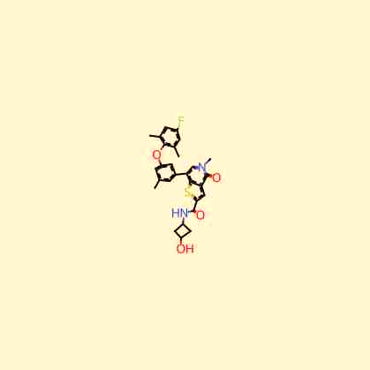 Cc1cc(Oc2c(C)cc(F)cc2C)cc(-c2cn(C)c(=O)c3cc(C(=O)NC4CC(O)C4)sc23)c1